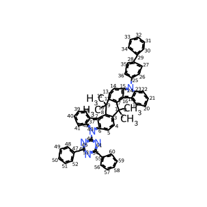 CC1(C)c2ccc3c(c2C(C)(C)c2ccc4c(c21)c1ccccc1n4-c1ccc(-c2ccccc2)cc1)c1ccccc1n3-c1nc(-c2ccccc2)nc(-c2ccccc2)n1